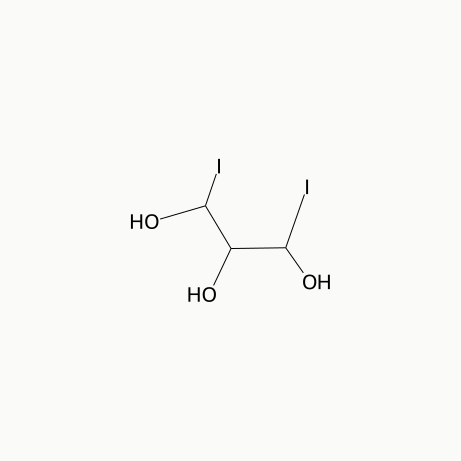 OC(I)C(O)C(O)I